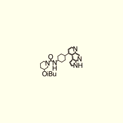 CC(C)COC1CCCN(C(=O)NC2CCC(c3ccnc4cnc5[nH]ccc5c34)CC2)C1